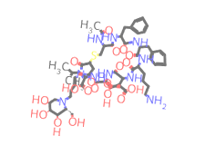 CC(=O)NC(CSC1CC(=O)N(CCCCN2C[C@H](O)[C@@H](O)[C@H](O)[C@H]2CO)C1=O)C(=O)NC(Cc1ccccc1)C(=O)NC(Cc1ccccc1)C(=O)NC(CCCCN)C(=O)NC(CC(=O)O)C(=O)NC(CCC(=O)O)C(=O)NC(CC(C)C)C(=O)O